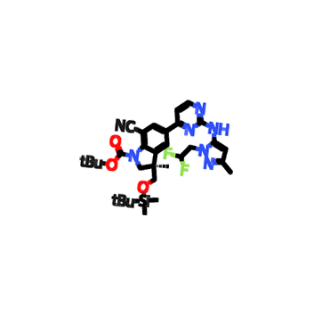 Cc1cc(Nc2nccc(-c3cc(C#N)c4c(c3)[C@@](C)(CO[Si](C)(C)C(C)(C)C)CN4C(=O)OC(C)(C)C)n2)n(CC(F)F)n1